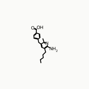 CCCCCc1cc(Cc2ccc(C(=O)O)cc2)c(C)nc1N